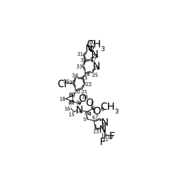 COC(=O)[C@@H](Cc1cnn(C(F)F)c1)N1CC[C@@]2(C[C@@H]2c2ccc(-c3cnc4nn(C)cc4c3)cc2Cl)C1=O